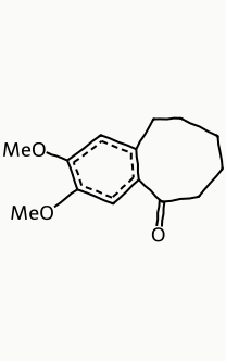 COc1cc2c(cc1OC)C(=O)CCCCC2